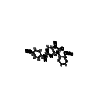 COc1ccccc1-n1c(=O)[nH]c2cnc(Nc3ccc(O)cc3)nc21